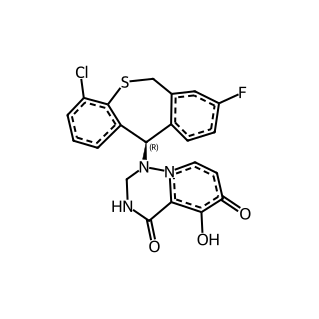 O=C1NCN([C@@H]2c3ccc(F)cc3CSc3c(Cl)cccc32)n2ccc(=O)c(O)c21